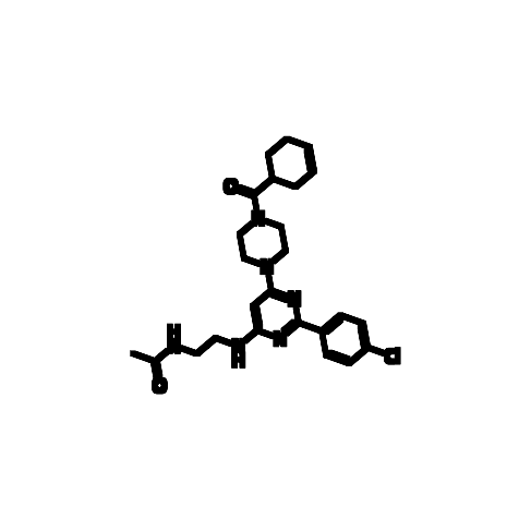 CC(=O)NCCNc1cc(N2CCN(C(=O)C3CC=CCC3)CC2)nc(-c2ccc(Cl)cc2)n1